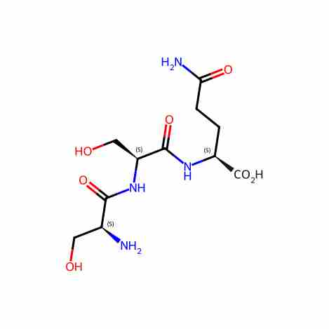 NC(=O)CC[C@H](NC(=O)[C@H](CO)NC(=O)[C@@H](N)CO)C(=O)O